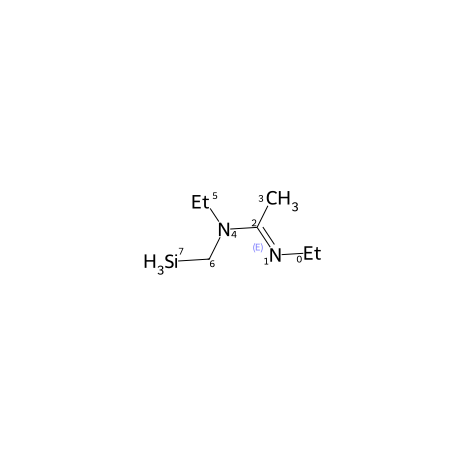 CC/N=C(\C)N(CC)C[SiH3]